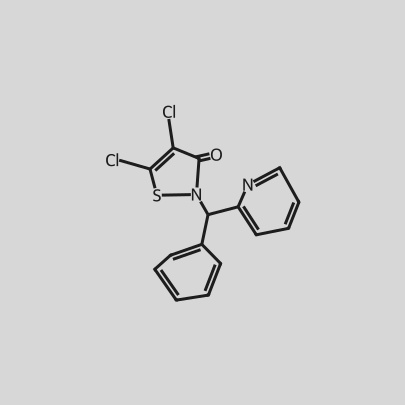 O=c1c(Cl)c(Cl)sn1C(c1ccccc1)c1ccccn1